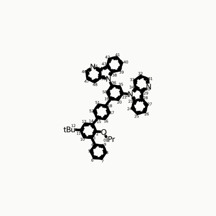 CC(C)Oc1c(-c2ccccc2)cc(C(C)(C)C)cc1-c1ccc(-c2cc(-n3c4ccccc4c4ncccc43)cc(-n3c4ccccc4c4ncccc43)c2)cc1